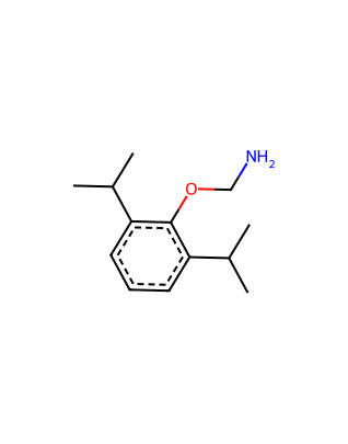 CC(C)c1cccc(C(C)C)c1OCN